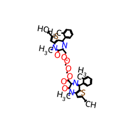 C#Cc1cc2c(s1)C(c1ccccc1C)=NC(COOCOCOC(=O)C1N=C(c3ccccc3C)c3sc(C#C)cc3N(C)C1=O)C(=O)N2C